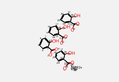 O=C([O-])c1ccccc1O.O=C([O-])c1ccccc1O.O=C([O-])c1ccccc1O.O=C([O-])c1ccccc1O.[Cr+3].[Na+]